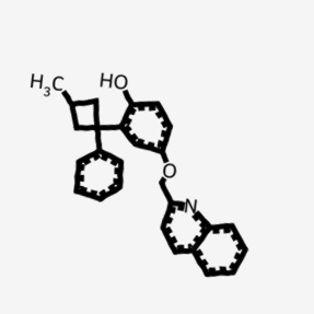 CC1CC(c2ccccc2)(c2cc(OCc3ccc4ccccc4n3)ccc2O)C1